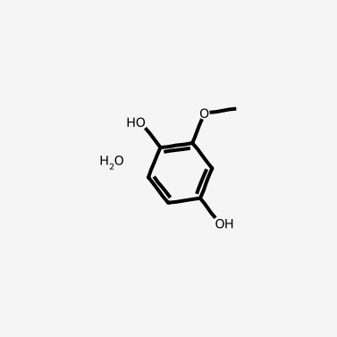 COc1cc(O)ccc1O.O